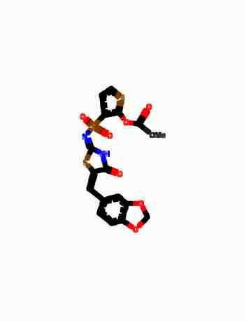 COC(=O)Oc1sccc1S(=O)(=O)N=C1NC(=O)C(=Cc2ccc3c(c2)OCO3)S1